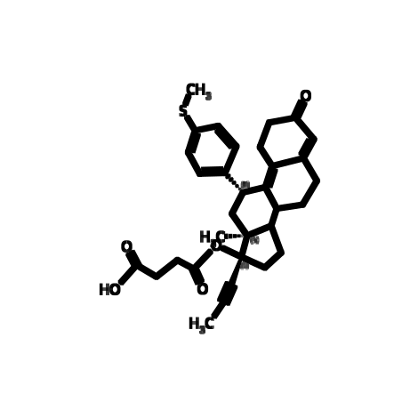 CC#C[C@]1(OC(=O)CCC(=O)O)CCC2C3CCC4=CC(=O)CCC4=C3[C@@H](c3ccc(SC)cc3)C[C@@]21C